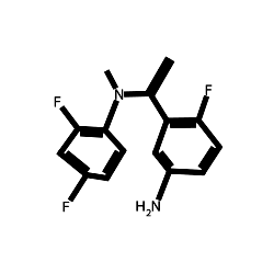 C=C(c1cc(N)ccc1F)N(C)c1ccc(F)cc1F